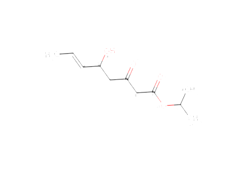 CC=CC(O)CC(=O)CC(=O)OC(C)C